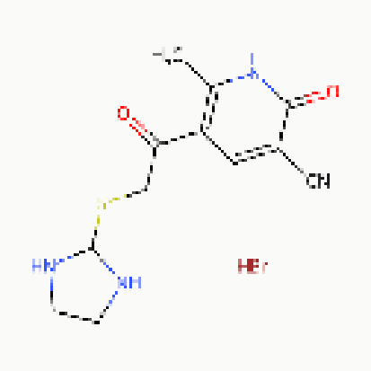 Br.Cc1[nH]c(=O)c(C#N)cc1C(=O)CSC1NCCN1